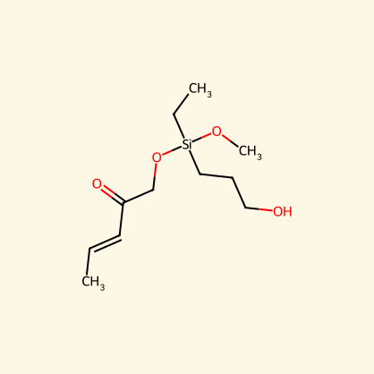 CC=CC(=O)CO[Si](CC)(CCCO)OC